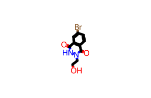 O=c1[nH]n(CCO)c(=O)c2ccc(Br)cc12